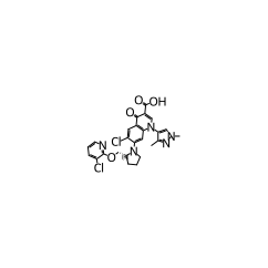 Cc1nn(C)cc1-n1cc(C(=O)O)c(=O)c2cc(Cl)c(N3CCC[C@@H]3COc3ncccc3Cl)cc21